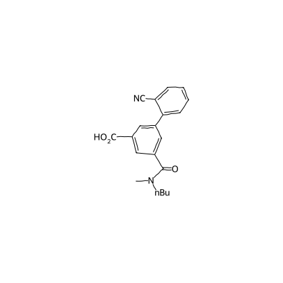 CCCCN(C)C(=O)c1cc(C(=O)O)cc(-c2ccccc2C#N)c1